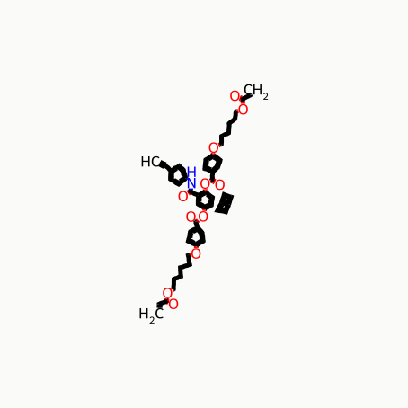 C#Cc1ccc(NC(=O)c2cc(OC(=O)c3ccc(OCCCCCCOC(=O)C=C)cc3)ccc2OC(=O)c2ccc(OCCCCCCOC(=O)C=C)cc2)cc1.c1cc2ccc1-2